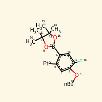 CCCCOc1cc(CC)c(B2OC(C)(C)C(C)(C)O2)cc1F